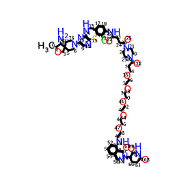 C[C@@H]1OCC2(CCN(c3cnc4c(n3)NCc3ccc(NC(=O)CCC(=O)N5CCN(C(=O)CCOCCOCCOCCOCCOCCNc6cccc7cnn(C8CCC(=O)NC8=O)c(=O)c67)CC5)c(Cl)c3S4)CC2)[C@@H]1N